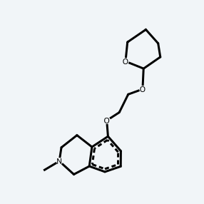 CN1CCc2c(cccc2OCCOC2CCCCO2)C1